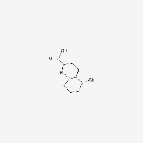 O=C(O)C1CCC2C(O)CCCC2N1